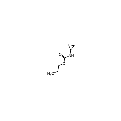 [CH2]CCOC(=O)NC1CC1